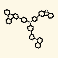 c1cc(-c2ccc(N(c3ccc(-c4ccc5oc6ccccc6c5c4)cc3)c3ccc(-c4ccc5c6ccccc6c6ccccc6c5c4)cc3)cc2)cc(-c2cccc3ccccc23)c1